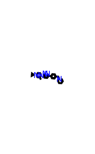 CC1CN(C2CC2)CCN1c1ccc(-c2ccc(CN3CCCCC3)cc2)nn1